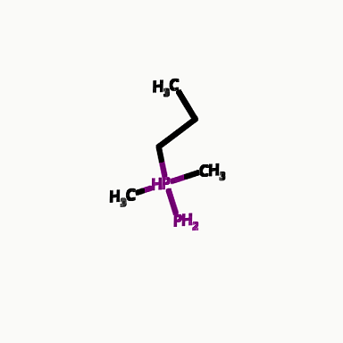 CCC[PH](C)(C)P